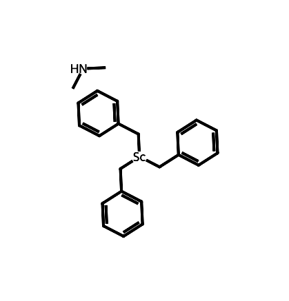 CNC.c1ccc([CH2][Sc]([CH2]c2ccccc2)[CH2]c2ccccc2)cc1